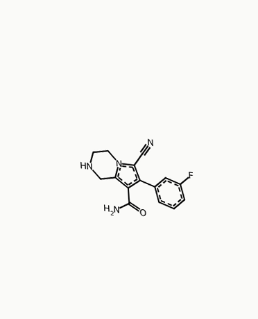 N#Cc1c(-c2cccc(F)c2)c(C(N)=O)c2n1CCNC2